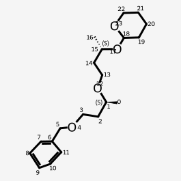 C[C@@H](CCOCc1ccccc1)OCC[C@H](C)OC1CCCCO1